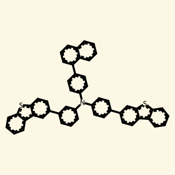 c1cc(-c2ccc3sc4ccccc4c3c2)cc(N(c2ccc(-c3ccc4c(c3)sc3ccccc34)cc2)c2ccc(-c3cccc4ccccc34)cc2)c1